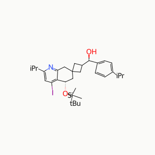 CC(C)c1ccc([C@H](O)C2CC3(Cc4nc(C(C)C)cc(I)c4[C@@H](O[Si](C)(C)C(C)(C)C)C3)C2)cc1